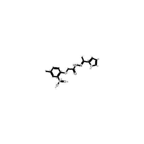 C/C(=N\NC(=O)COc1ccc(C)cc1[N+](=O)[O-])c1ccco1